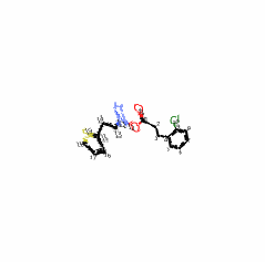 O=C(CCc1ccccc1Cl)ONCCc1cccs1